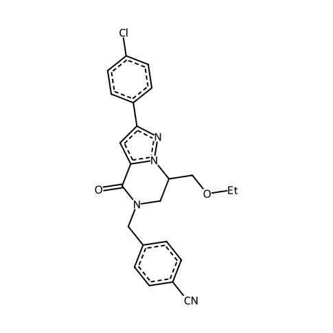 CCOCC1CN(Cc2ccc(C#N)cc2)C(=O)c2cc(-c3ccc(Cl)cc3)nn21